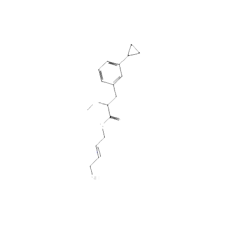 COC(Cc1cccc(C2CC2)c1)C(=O)NC/C=C/CN